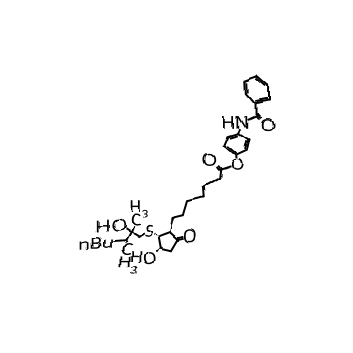 CCCCC(C)C(C)(O)CS[C@H]1[C@H](O)CC(=O)[C@@H]1CCCCCCC(=O)Oc1ccc(NC(=O)c2ccccc2)cc1